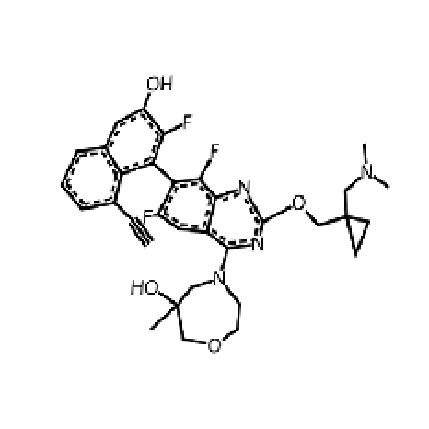 C#Cc1cccc2cc(O)c(F)c(-c3c(F)cc4c(N5CCOCC(C)(O)C5)nc(OCC5(CN(C)C)CC5)nc4c3F)c12